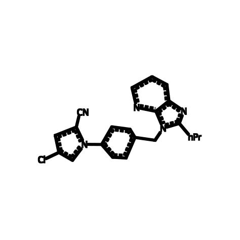 CCCc1nc2cccnc2n1Cc1ccc(-n2cc(Cl)cc2C#N)cc1